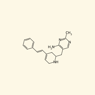 Cc1ncc(CC2CC(C=Cc3ccccc3)=CCN2)c(N)n1